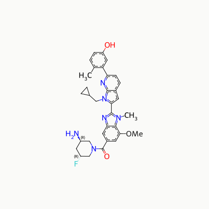 COc1cc(C(=O)N2C[C@H](N)C[C@@H](F)C2)cc2nc(-c3cc4ccc(-c5cc(O)ccc5C)nc4n3CC3CC3)n(C)c12